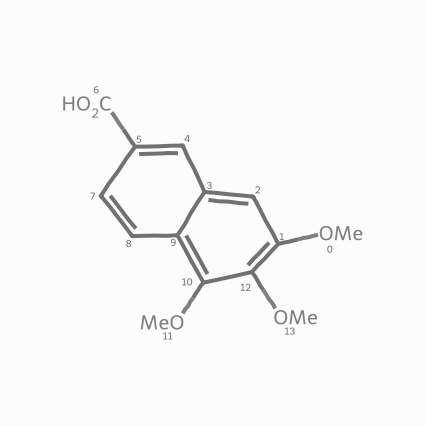 COc1cc2cc(C(=O)O)ccc2c(OC)c1OC